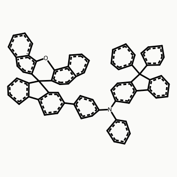 c1ccc(N(c2ccc(-c3ccc4c(c3)C3(c5ccccc5-4)c4ccc5ccccc5c4Oc4c3ccc3ccccc43)cc2)c2ccc3c(c2)-c2ccccc2C3(c2ccccc2)c2ccccc2)cc1